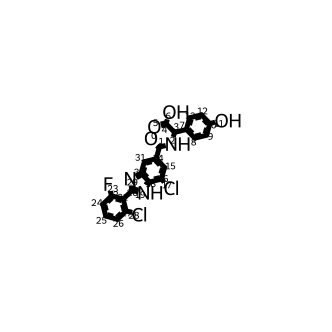 O=C(NC(C(=O)O)c1ccc(O)cc1)c1cc(Cl)c2[nH]c(-c3c(F)cccc3Cl)nc2c1